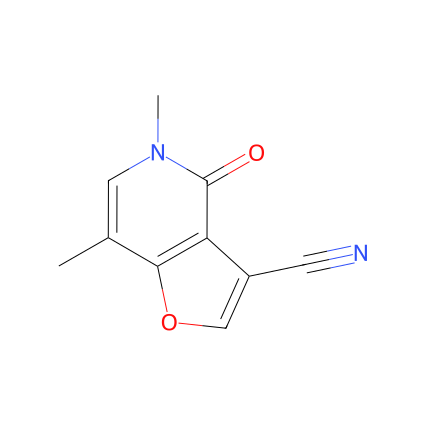 Cc1cn(C)c(=O)c2c(C#N)coc12